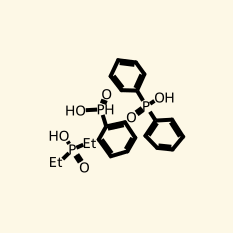 CCP(=O)(O)CC.O=P(O)(c1ccccc1)c1ccccc1.O=[PH](O)c1ccccc1